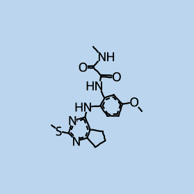 CNC(=O)C(=O)Nc1cc(OC)ccc1Nc1nc(SC)nc2c1CCC2